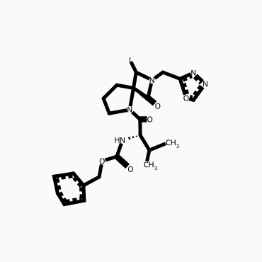 CC(C)[C@H](NC(=O)OCc1ccccc1)C(=O)N1CCCC12C(=O)N(Cc1nnco1)C2I